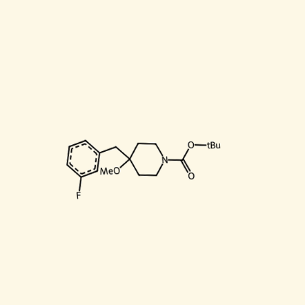 COC1(Cc2cccc(F)c2)CCN(C(=O)OC(C)(C)C)CC1